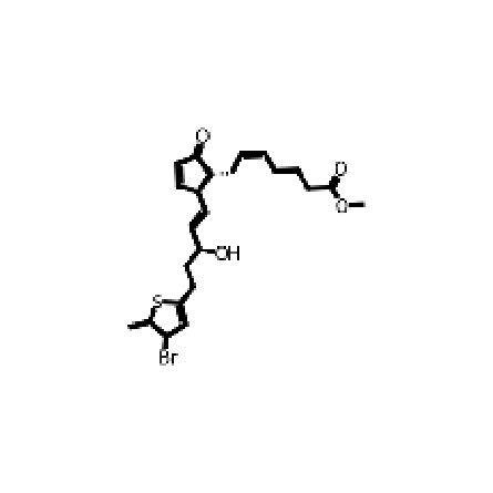 COC(=O)CCC/C=C\C[C@H]1C(=O)C=CC1/C=C/[C@@H](O)CCC1=CC(Br)C(C)S1